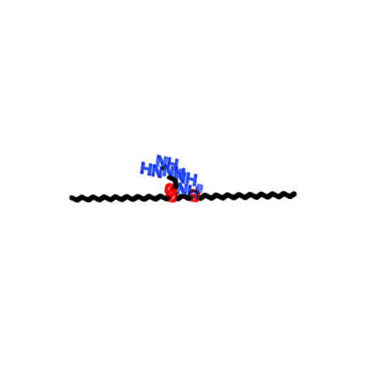 CCCCCCCCCCCCCCCCCCOCC(COCCCCCCCCCCCCCCCCCC)NC(=O)C(N)CNC(=N)N